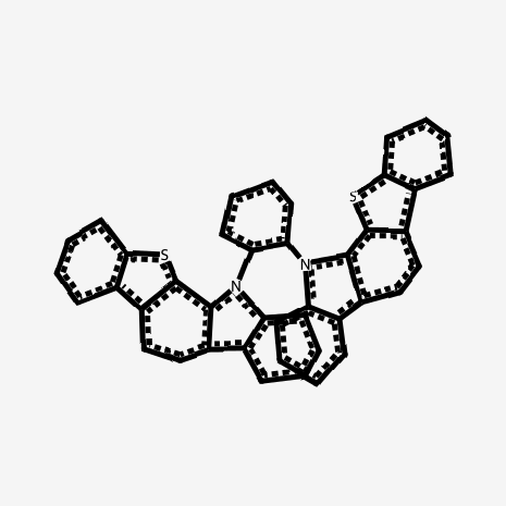 c1ccc(-n2c3ccccc3c3ccc4c5ccccc5sc4c32)c(-n2c3ccccc3c3ccc4c5ccccc5sc4c32)c1